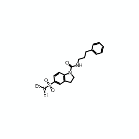 CCN(CC)S(=O)(=O)c1ccc2c(c1)CCN2C(=O)NCCCc1ccccc1